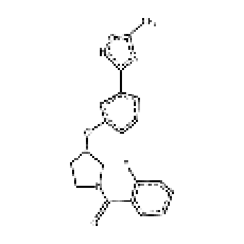 O=C(c1ccccc1F)N1CCC(Oc2cccc(-c3noc(C(F)(F)F)n3)c2)C1